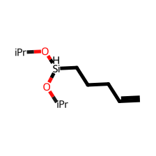 C=CCCC[SiH](OC(C)C)OC(C)C